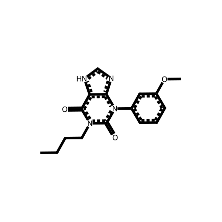 CCCCn1c(=O)c2[nH]cnc2n(-c2cccc(OC)c2)c1=O